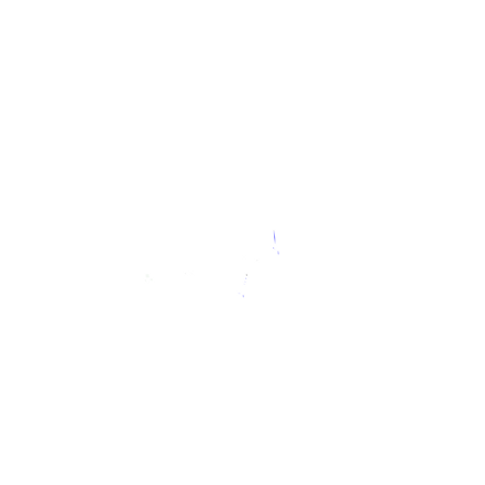 FC(F)n1ccc2cc(Br)cnc21